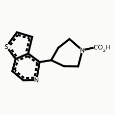 O=C(O)N1CCC(c2nccc3sccc23)CC1